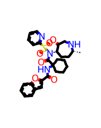 C[C@@H]1CC[C@H](N(C(=O)C2(NC(=O)c3cc4ccccc4o3)CCCCC2)S(=O)(=O)c2ccccn2)C(=O)CN1